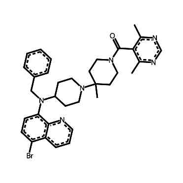 Cc1ncnc(C)c1C(=O)N1CCC(C)(N2CCC(N(Cc3ccccc3)c3ccc(Br)c4cccnc34)CC2)CC1